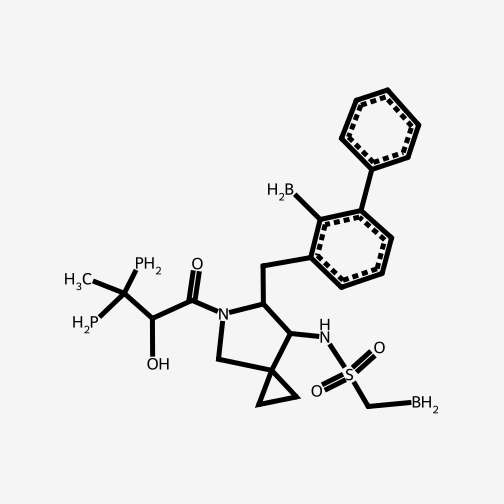 BCS(=O)(=O)NC1C(Cc2cccc(-c3ccccc3)c2B)N(C(=O)C(O)C(C)(P)P)CC12CC2